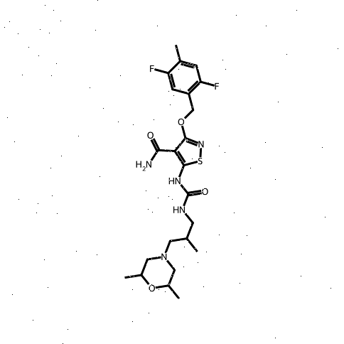 Cc1cc(F)c(COc2nsc(NC(=O)NCC(C)CN3CC(C)OC(C)C3)c2C(N)=O)cc1F